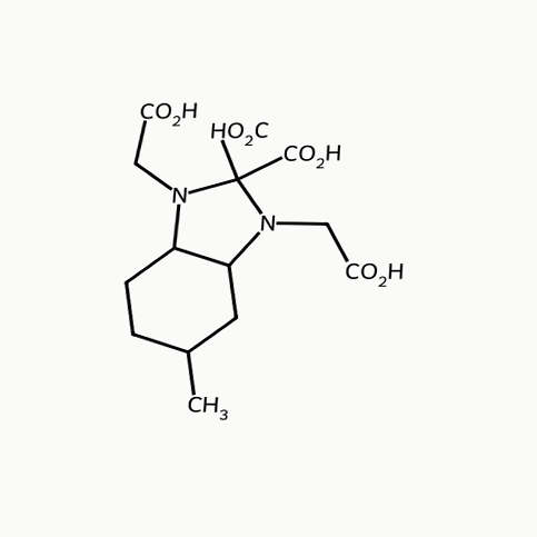 CC1CCC2C(C1)N(CC(=O)O)C(C(=O)O)(C(=O)O)N2CC(=O)O